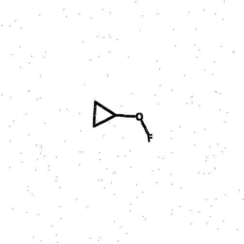 FOC1CC1